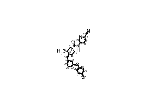 CC1CN(C(=O)Nc2ccc(C#N)nc2)CCC1=Cc1cccc(Oc2ccc(Br)cn2)c1